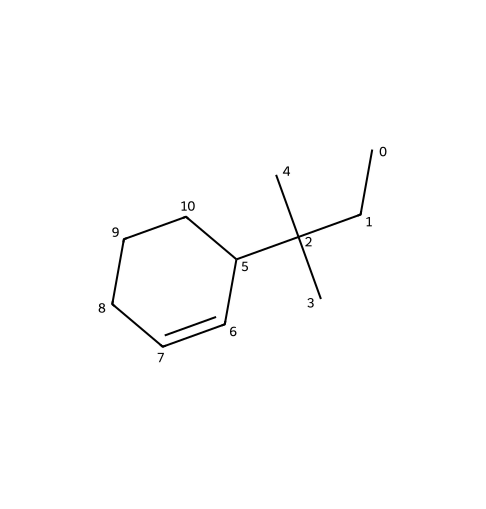 CCC(C)(C)C1C=CCCC1